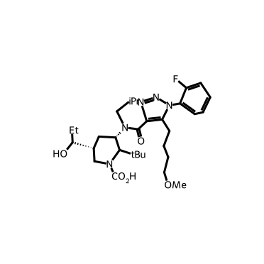 CCC(O)[C@@H]1C[C@H](N(CC(C)C)C(=O)c2nnn(-c3ccccc3F)c2CCCCOC)C(C(C)(C)C)N(C(=O)O)C1